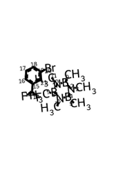 CB1N(C)B(C)N(C)B(C)N1C.FC(F)c1cccc(Br)c1